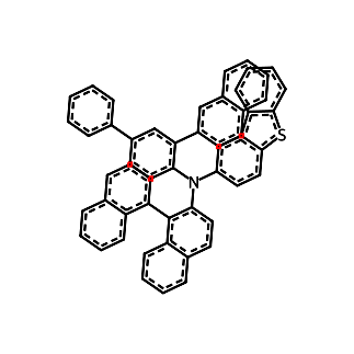 c1ccc(-c2ccc(N(c3ccc4sc5ccccc5c4c3)c3ccc4ccccc4c3-c3cccc4ccccc34)c(-c3ccc4ccccc4c3)c2)cc1